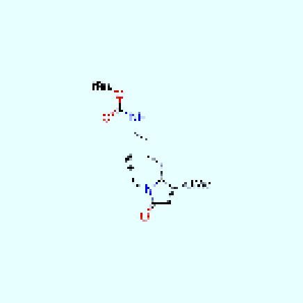 C#CCN1C(=O)C=C(OC)[C@H]1CCCCNC(=O)OC(C)(C)C